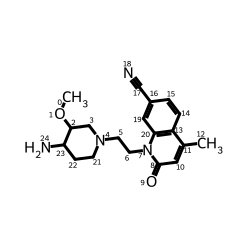 COC1CN(CCn2c(=O)cc(C)c3ccc(C#N)cc32)CCC1N